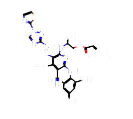 C=CC(=O)OCC(C)Nc1nc(Nc2c(C)cc(C)cc2C)c(C#N)c(C)c1N=Nc1ncn(-c2nccs2)n1